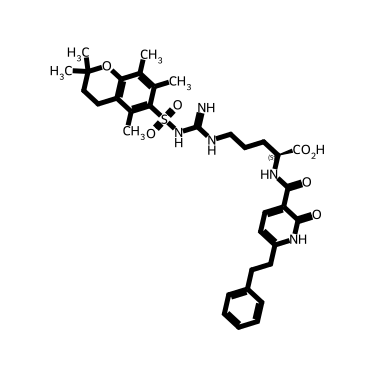 Cc1c(C)c(S(=O)(=O)NC(=N)NCCC[C@H](NC(=O)c2ccc(CCc3ccccc3)[nH]c2=O)C(=O)O)c(C)c2c1OC(C)(C)CC2